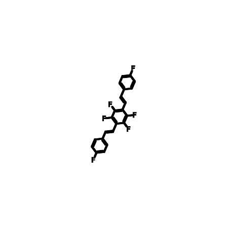 Fc1ccc(/C=C/c2c(F)c(F)c(/C=C/c3ccc(F)cc3)c(F)c2F)cc1